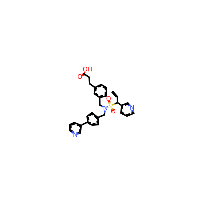 C=CC(c1cccnc1)S(=O)(=O)N(Cc1ccc(-c2cccnc2)cc1)Cc1cccc(CCC(=O)O)c1